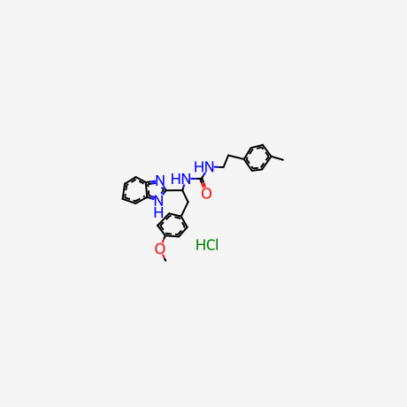 COc1ccc(CC(NC(=O)NCCc2ccc(C)cc2)c2nc3ccccc3[nH]2)cc1.Cl